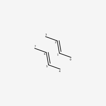 CC=CC.CC=CC